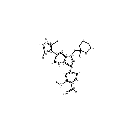 COc1cc(-c2cn(CC3(C)CCCCC3)c3cc(-c4c(C)noc4C)cnc23)ccc1C(C)=O